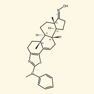 CN(c1ccccc1)c1nc2c(s1)C1=CC[C@@H]3[C@H](CC[C@]4(C)/C(=N/O)CC[C@@H]34)[C@@]1(C)CC2